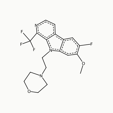 COc1cc2c(cc1F)c1ccnc(C(F)(F)F)c1n2CCN1CCOCC1